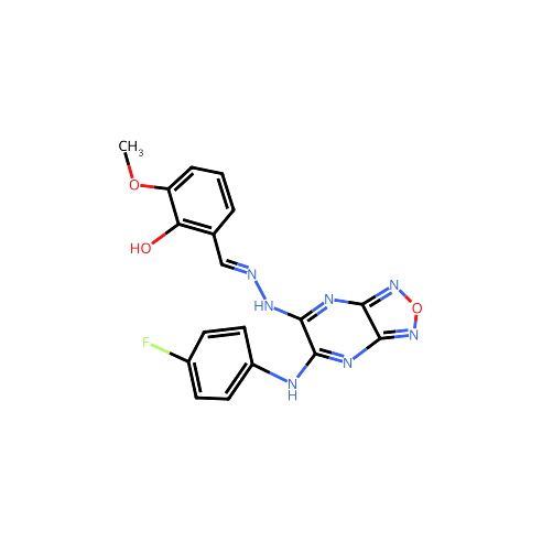 COc1cccc(C=NNc2nc3nonc3nc2Nc2ccc(F)cc2)c1O